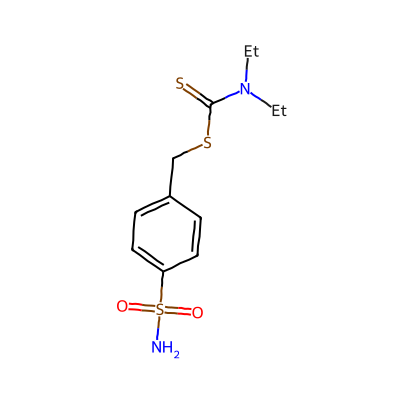 CCN(CC)C(=S)SCc1ccc(S(N)(=O)=O)cc1